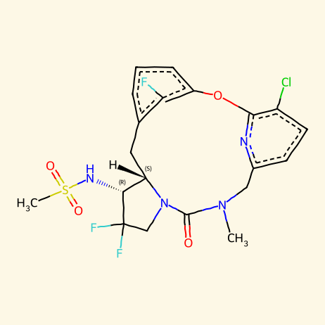 CN1Cc2ccc(Cl)c(n2)Oc2cccc(c2F)C[C@H]2[C@@H](NS(C)(=O)=O)C(F)(F)CN2C1=O